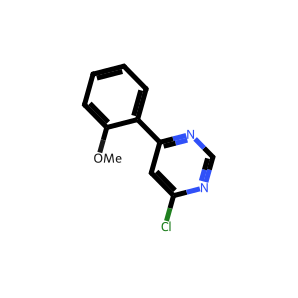 COc1ccccc1-c1cc(Cl)ncn1